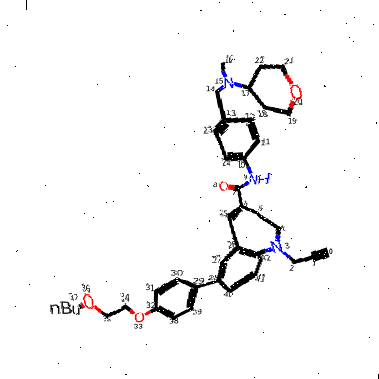 C#CCN1CCC(C(=O)Nc2ccc(CN(C)C3CCOCC3)cc2)=Cc2cc(-c3ccc(OCCOCCCC)cc3)ccc21